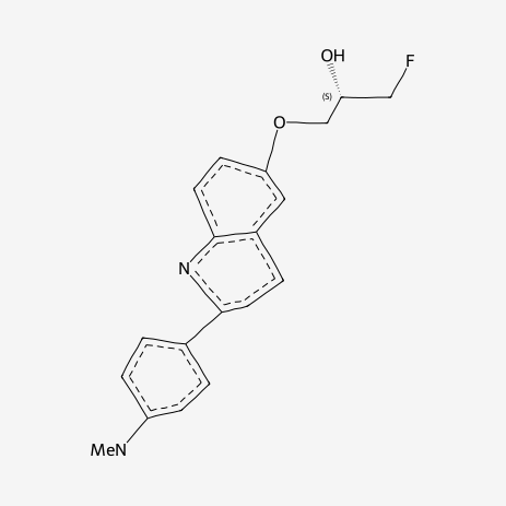 CNc1ccc(-c2ccc3cc(OC[C@H](O)CF)ccc3n2)cc1